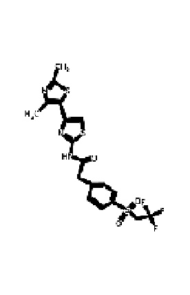 Cc1nc(C)c(-c2csc(NC(=O)Cc3ccc(S(=O)(=O)CC(F)(F)F)cc3)n2)s1